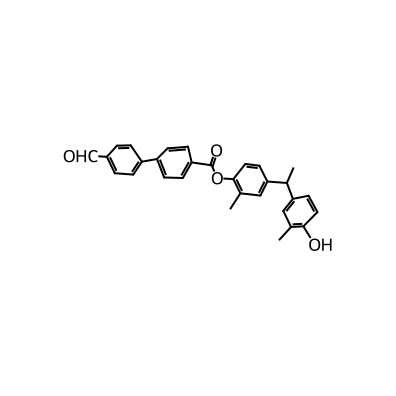 Cc1cc(C(C)c2ccc(OC(=O)c3ccc(-c4ccc(C=O)cc4)cc3)c(C)c2)ccc1O